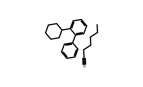 CCCCCC#N.c1ccc(-c2ccccc2C2CCCCC2)cc1